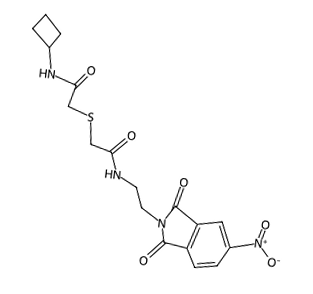 O=C(CSCC(=O)NC1CCC1)NCCN1C(=O)c2ccc([N+](=O)[O-])cc2C1=O